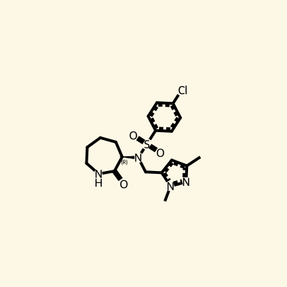 Cc1cc(CN([C@@H]2CCCCNC2=O)S(=O)(=O)c2ccc(Cl)cc2)n(C)n1